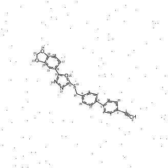 C#Cc1ccc(-c2ccc(CSc3nnc(-c4ccc5c(c4)OCO5)o3)cc2)cc1